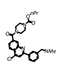 CCCOC(=O)N1CCN(C(=O)c2ccc3c(Cl)cc(-c4cccc(CNC)c4)nc3c2)CC1